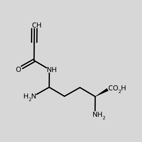 C#CC(=O)NC(N)CC[C@H](N)C(=O)O